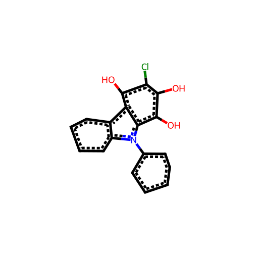 Oc1c(Cl)c(O)c2c3ccccc3n(-c3ccccc3)c2c1O